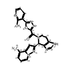 Cc1ncccc1-c1nnc(C(=O)N2CCc3[nH]cnc3[C@H]2c2cc3c(C)cccn3n2)o1